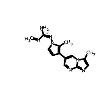 C=N/C(N)=N\n1ccc(-c2cnc3ncc(C)n3c2)c1C